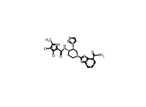 Cc1[nH]c(C(=O)N[C@@H]2CCN(c3nc4cccc(C(N)=O)c4s3)C[C@@H]2n2ccnn2)c(Cl)c1Cl